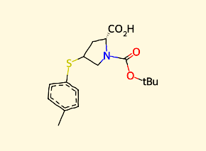 Cc1ccc(SC2C[C@H](C(=O)O)N(C(=O)OC(C)(C)C)C2)cc1